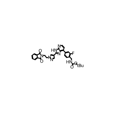 CC(C)(C)OC(=O)NCc1ccc(-c2ccnc3[nH]c(-c4cnn(CCN5C(=O)c6ccccc6C5=O)c4)nc23)cc1F